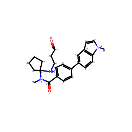 CN(C(=O)c1ccc(-c2ccc3c(ccn3C)c2)cc1)C1(NCCC=O)CCCC1